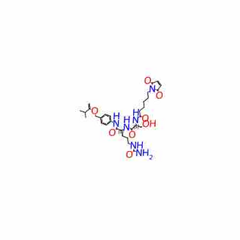 C=C(OCc1ccc(NC(=O)[C@H](CCCNC(N)=O)NC(=O)[C@H](CO)NC(=O)CCCCCN2C(=O)C=CC2=O)cc1)C(C)C